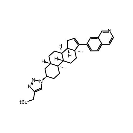 CC(C)(C)Cc1cn([C@@H]2CC[C@@]3(C)[C@@H](CC[C@@H]4[C@@H]3CC[C@]3(C)C(c5ccc6ccncc6c5)=CC[C@@H]43)C2)nn1